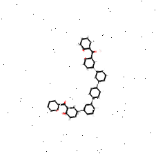 O=c1c2ccccc2oc2ccc(-c3cccc(-c4ccc(-c5cccc(-c6ccc7oc8ccccc8c(=O)c7c6)c5)cc4)c3)cc12